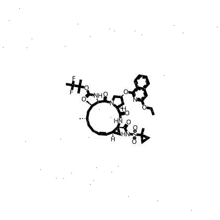 CCOc1cc2ccccc2c(O[C@@H]2C[C@H]3C(=O)N[C@]4(C(=O)NS(=O)(=O)C5(C)CC5)C[C@H]4/C=C\CC[C@H](C)C[C@@H](C)[C@H](NC(=O)OC(C)(C)C(C)(F)F)C(=O)N3C2)n1